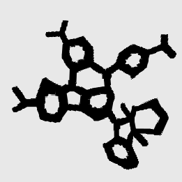 CC(C)c1ccc(N2c3ccc(C(C)C)cc3B3c4cc(C(C)C)ccc4-c4cc(N5c6ccccc6C6(C)CCCCC56C)cc2c43)cc1